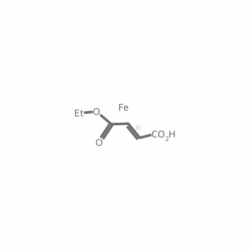 CCOC(=O)/C=C/C(=O)O.[Fe]